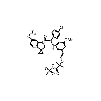 COc1cc(C=NOC(C)(C)C(=O)NS(C)(=O)=O)cc(NC(C(=O)N2CC3(CC3)c3ccc(OC(F)(F)F)cc32)c2ccc(Cl)cc2)c1